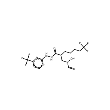 O=CN(O)C[C@H](CCCCC(F)(F)F)C(=O)NNc1nccc(C(F)(F)F)n1